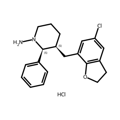 Cl.NN1CCC[C@@H](Cc2cc(Cl)cc3c2OCC3)[C@H]1c1ccccc1